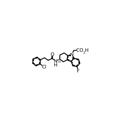 O=C(O)Cn1c2c(c3cc(F)ccc31)C[C@@H](NC(=O)CCc1ccccc1Cl)CC2